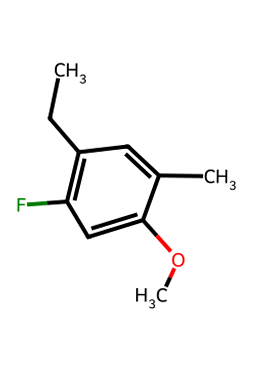 CCc1cc(C)c(OC)cc1F